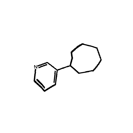 c1cncc(C2CCCCCC2)c1